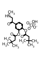 CNCC(=O)c1ccc(OC(=O)CC(C)(C)C)c(OC(=O)CC(C)(C)C)c1.[O-][Cl+3]([O-])([O-])O